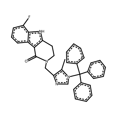 Cc1c(CN2CCc3[nH]c4c(F)cccc4c3C2=O)ncn1C(c1ccccc1)(c1ccccc1)c1ccccc1